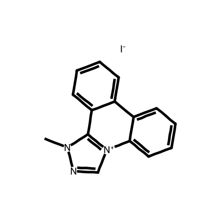 Cn1nc[n+]2c3ccccc3c3ccccc3c12.[I-]